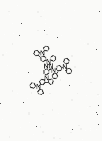 c1ccc(N(c2ccccc2)c2ccc3c(c2)c2ccccc2n3-c2ccc3nc(N(c4ccccc4)c4ccc5c6ccccc6n(-c6ccccc6)c5c4)nc(-n4c5ccccc5c5cc(N(c6ccccc6)c6ccccc6)ccc54)c3c2)cc1